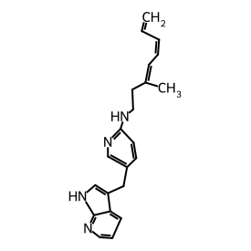 C=C/C=C\C=C(/C)CCNc1ccc(Cc2c[nH]c3ncccc23)cn1